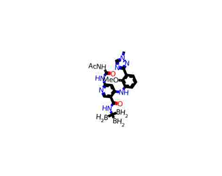 BC(B)(B)NC(=O)c1cnc(NC(=O)NC(C)=O)cc1Nc1cccc(-c2ncn(C)n2)c1OC